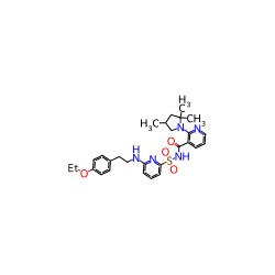 CCOc1ccc(CCNc2cccc(S(=O)(=O)NC(=O)c3cccnc3N3CC(C)CC3(C)C)n2)cc1